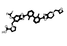 Cc1c(-c2nc3c(o2)CCN(CC2CCO2)C3)cccc1-c1cccc(-c2nc3cc(CN4CCCC4C(=O)O)c(OC(F)F)cc3o2)c1C